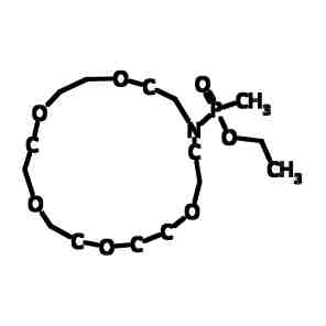 CCOP(C)(=O)N1CCOCCOCCOCCOCCOCC1